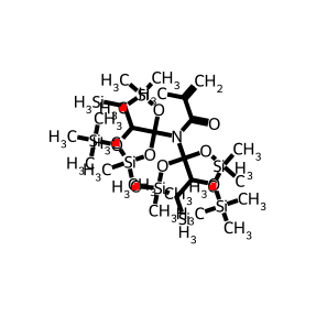 C=C(C)C(=O)N(C(O[Si](C)(C)C)(O[Si](C)(C)C)C(C[SiH3])O[Si](C)(C)C)C(O[Si](C)(C)C)(O[Si](C)(C)C)C(C[SiH3])O[Si](C)(C)C